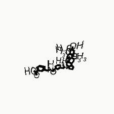 CC1(C)C(O)CCC2(C)C1CCC1(C)C2CCC2C3CCCC3(CNCc3cccc(C(=O)NCc4cccc(C(=O)O)c4)c3)CCC21C